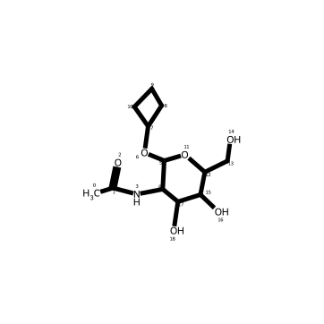 CC(=O)NC1C(OC2CCC2)OC(CO)C(O)C1O